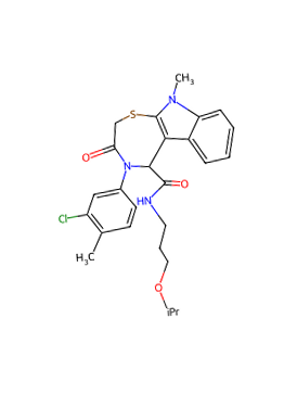 Cc1ccc(N2C(=O)CSc3c(c4ccccc4n3C)C2C(=O)NCCCOC(C)C)cc1Cl